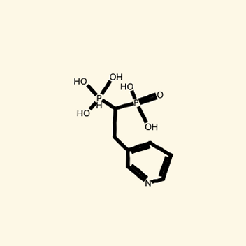 O=P(O)(O)C(Cc1cccnc1)[PH](O)(O)O